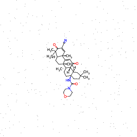 CC1(C)CC[C@]2(NC(=O)N3CCOCC3)CC[C@]3(C)[C@H](C(=O)C=C4[C@@]5(C)C=C(C#N)C(=O)C(C)(C)[C@@H]5CC[C@]43C)[C@@H]2C1